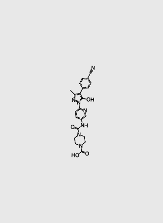 Cc1nn(-c2ccc(NC(=O)N3CCN(C(=O)O)CC3)cn2)c(O)c1-c1ccc(C#N)cc1